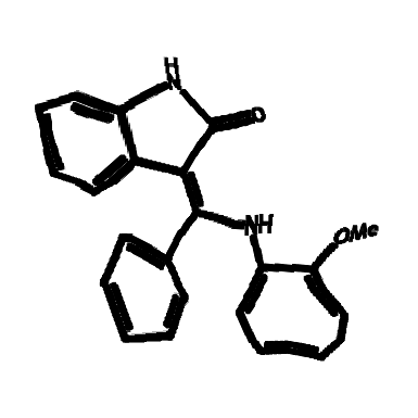 COc1ccccc1N/C(=C1\C(=O)Nc2ccccc21)c1ccccc1